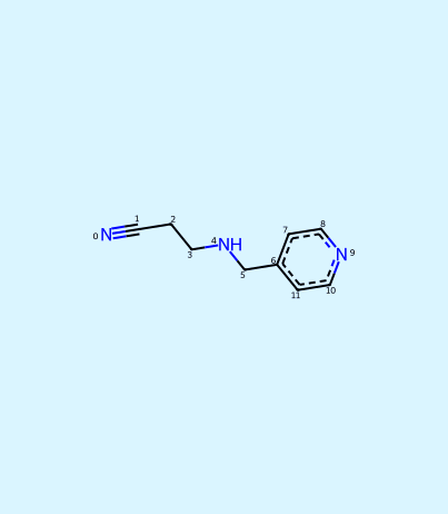 N#CCCNCc1ccncc1